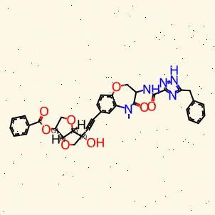 CN1C(=O)C(NC(=O)c2n[nH]c(Cc3ccccc3)n2)COc2ccc(C#C[C@@]3(O)CO[C@@H]4[C@@H](OC(=O)c5ccccc5)CO[C@@H]43)cc21